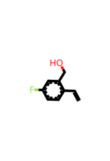 C=Cc1ccc(F)cc1CO